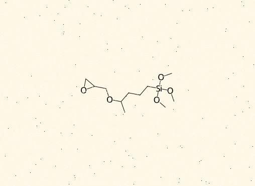 CO[Si](CCCC(C)OCC1CO1)(OC)OC